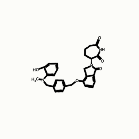 CN(Cc1ccc(COc2cccc3c2CN([C@H]2CCCC(=O)NC2=O)C3=O)cc1)c1ccccc1O